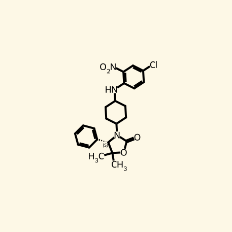 CC1(C)OC(=O)N(C2CCC(Nc3ccc(Cl)cc3[N+](=O)[O-])CC2)[C@H]1c1ccccc1